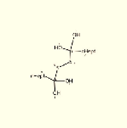 CCCCCCCC(O)(O)SSC(O)(O)CCCCCCC